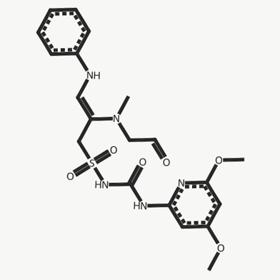 COc1cc(NC(=O)NS(=O)(=O)CC(=CNc2ccccc2)N(C)CC=O)nc(OC)c1